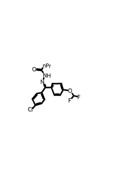 CCCC(=O)NN=C(c1ccc(Cl)cc1)c1ccc(OC(F)F)cc1